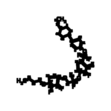 C=CC1CCC(c2ccc(OC(F)(F)c3ccc(OC(F)(F)COc4ccc(OCCCC)c(F)c4F)c(F)c3F)cc2)CC1